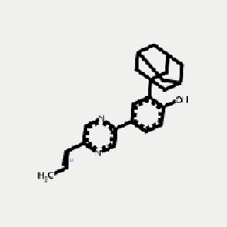 C/C=C/c1cnc(-c2ccc(O)c(C34CC5CC(CC(C5)C3)C4)c2)cn1